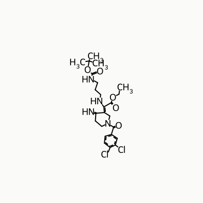 CCOC(=O)/C(NCCCNC(=O)OC(C)(C)C)=C1\CN(C(=O)c2ccc(Cl)c(Cl)c2)CCC1=N